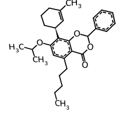 CCCCCc1cc(OC(C)C)c([C@@H]2C=C(C)CCC2)c2c1C(=O)OC(c1ccccc1)O2